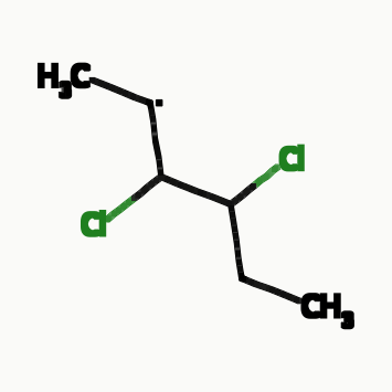 C[CH]C(Cl)C(Cl)CC